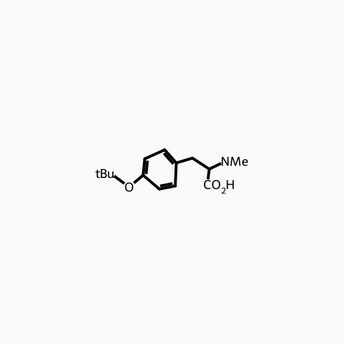 CNC(Cc1ccc(OC(C)(C)C)cc1)C(=O)O